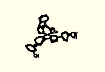 N#Cc1cccc(-c2ccc3c(c2)-c2ccc(C4=CCC(C#N)C=C4)cc2C32c3ccccc3-n3c4ccccc4c4cccc2c43)c1